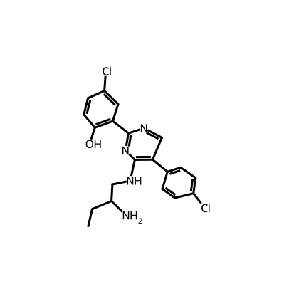 CCC(N)CNc1nc(-c2cc(Cl)ccc2O)ncc1-c1ccc(Cl)cc1